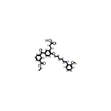 CCOC(=O)c1cccc(C(=O)c2ccc(OCCCC/C=C/c3ccccc3OC)c(CCC(=O)O)c2)c1